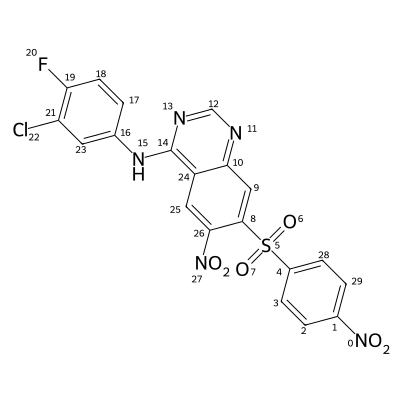 O=[N+]([O-])c1ccc(S(=O)(=O)c2cc3ncnc(Nc4ccc(F)c(Cl)c4)c3cc2[N+](=O)[O-])cc1